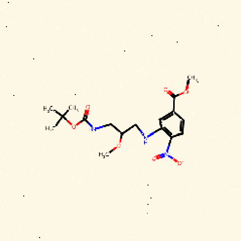 COC(=O)c1ccc([N+](=O)[O-])c(NCC(CNC(=O)OC(C)(C)C)OC)c1